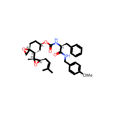 COc1ccc(CNC(=O)[C@H](Cc2ccccc2)NC(=O)O[C@@H]2CC[C@]3(CO3)[C@@H]([C@@]3(C)O[C@@H]3CC=C(C)C)C2)cc1